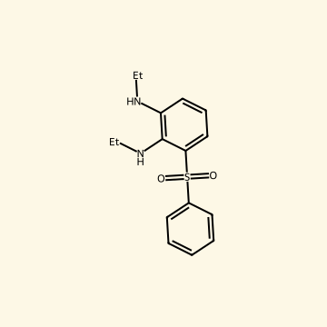 CCNc1cccc(S(=O)(=O)c2ccccc2)c1NCC